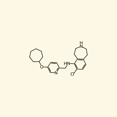 Clc1ccc2c(c1NCc1ccc(OC3CCCCCC3)cn1)CCNCC2